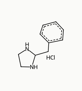 Cl.c1ccc(CC2NCCN2)cc1